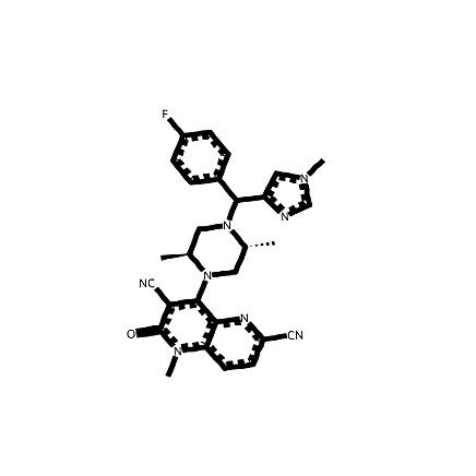 C[C@@H]1CN(c2c(C#N)c(=O)n(C)c3ccc(C#N)nc23)[C@@H](C)CN1C(c1ccc(F)cc1)c1cn(C)cn1